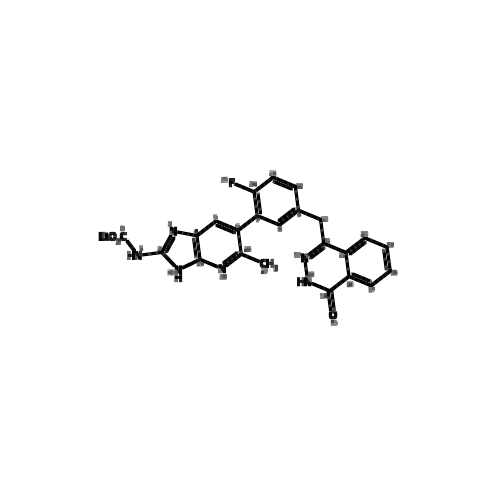 CCOC(=O)Nc1nc2cc(-c3cc(Cc4n[nH]c(=O)c5ccccc45)ccc3F)c(C)nc2[nH]1